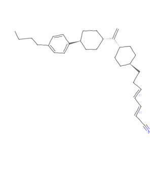 C=C([C@H]1CC[C@H](CC/C=C/C=C/C#N)CC1)[C@H]1CC[C@H](c2ccc(CCCC)cc2)CC1